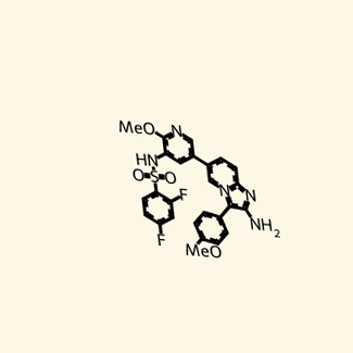 COc1ccc(-c2c(N)nc3ccc(-c4cnc(OC)c(NS(=O)(=O)c5ccc(F)cc5F)c4)cn23)cc1